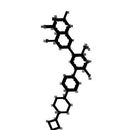 Cc1nc2cc(-c3cc(-c4ccc(N5CCN(C6CCC6)CC5)cc4)c(F)nc3N)cc(F)c2c(=O)[nH]1